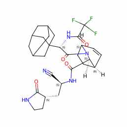 N#C[C@H](C[C@@H]1CCNC1=O)NC(=O)[C@@H]1[C@H]2C=C[C@H](CC2)N1C(=O)[C@@H](NC(=O)C(F)(F)F)C12CC3CC(CC(C3)C1)C2